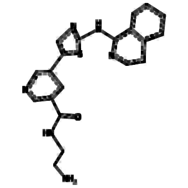 NCCNC(=O)c1cncc(-c2cnc(Nc3nccc4ccccc34)s2)c1